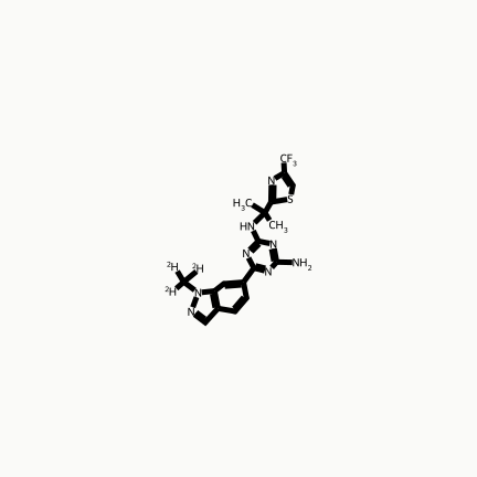 [2H]C([2H])([2H])n1ncc2ccc(-c3nc(N)nc(NC(C)(C)c4nc(C(F)(F)F)cs4)n3)cc21